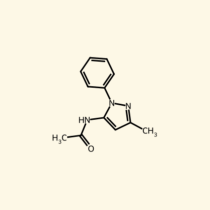 CC(=O)Nc1cc(C)nn1-c1ccccc1